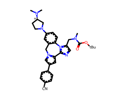 CN(Cc1cnc2n1-c1ccc(N3CC[C@@H](N(C)C)C3)cc1Cn1cc(-c3ccc(C#N)cc3)cc1-2)C(=O)OC(C)(C)C